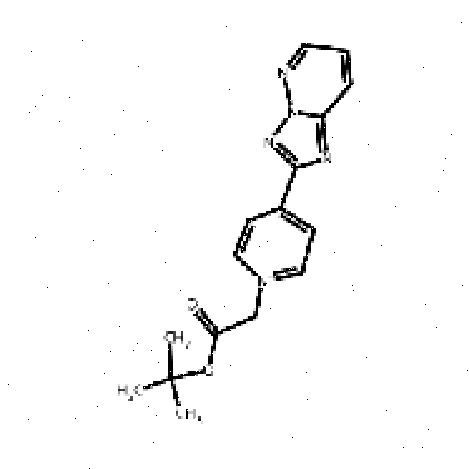 CC(C)(C)OC(=O)C[n+]1ccc(-c2nc3cccnn3n2)cc1